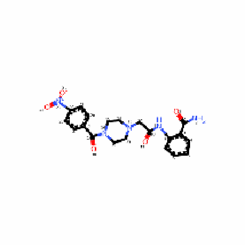 NC(=O)c1ccccc1NC(=O)CN1CCN(C(=O)c2ccc([N+](=O)[O-])cc2)CC1